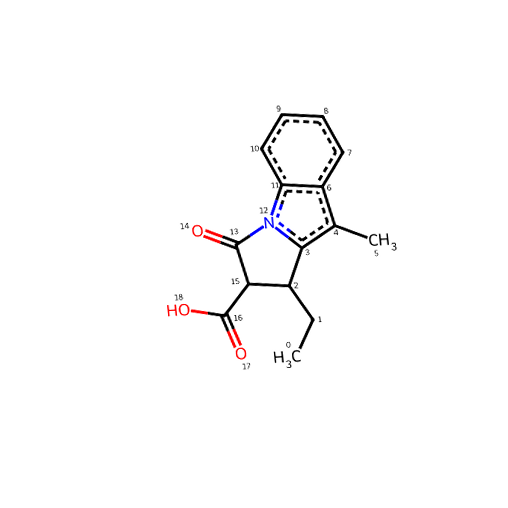 CCC1c2c(C)c3ccccc3n2C(=O)C1C(=O)O